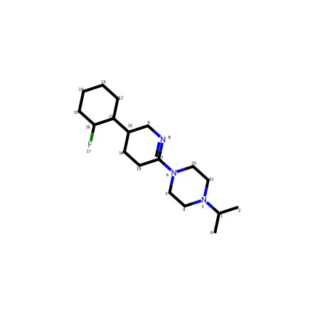 CC(C)N1CCN(C2=NCC(C3CCCCC3F)CC2)CC1